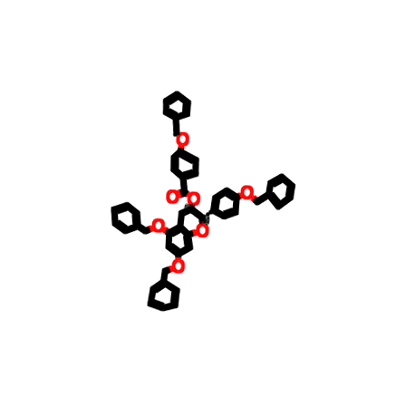 O=C(O[C@@H]1Cc2c(OCc3ccccc3)cc(OCc3ccccc3)cc2O[C@H]1c1ccc(OCc2ccccc2)cc1)c1ccc(OCc2ccccc2)cc1